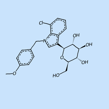 COc1ccc(Cn2cc([C@@H]3O[C@H](CO)[C@@H](O)[C@H](O)[C@H]3O)c3cccc(Cl)c32)cc1